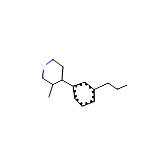 CCCc1cccc(C2CCNCC2C)c1